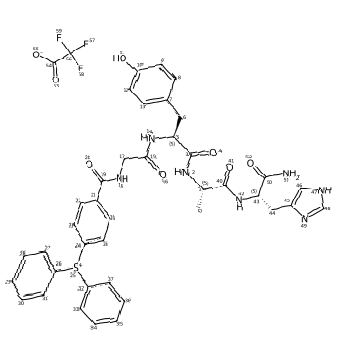 C[C@H](NC(=O)[C@H](Cc1ccc(O)cc1)NC(=O)CNC(=O)c1ccc([S+](c2ccccc2)c2ccccc2)cc1)C(=O)N[C@@H](Cc1c[nH]cn1)C(N)=O.O=C([O-])C(F)(F)F